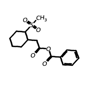 CS(=O)(=O)C1CCCCC1CC(=O)OC(=O)c1ccccc1